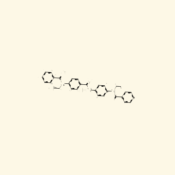 O=C(Nc1ccc(N(CCl)C(=O)c2ccccc2)cc1)c1ccc(N(CCl)C(=O)c2ccccc2)cc1